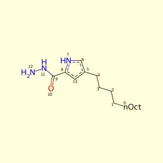 CCCCCCCCCCCCc1c[nH]c(C(=O)NN)c1